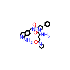 Nc1nccc2cc(CNC(=O)[C@@H]3C[C@H](c4ccccc4)CN3C(=O)[C@H](N)CCC(=O)N3CCCC3)ccc12